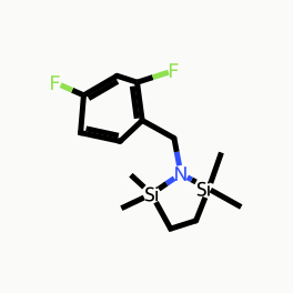 C[Si]1(C)CC[Si](C)(C)N1Cc1ccc(F)cc1F